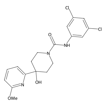 COc1cccc(C2(O)CCN(C(=O)Nc3cc(Cl)cc(Cl)c3)CC2)n1